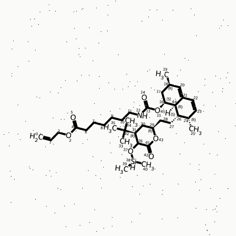 C=CCOC(=O)CCCCCCNC(=O)O[C@H]1C[C@@H](C)C=C2C=C[C@H](C)[C@H](CC[C@@H]3C[C@H](C(C)(C)C)C(O[SiH](C)C)C(=O)O3)[C@H]21